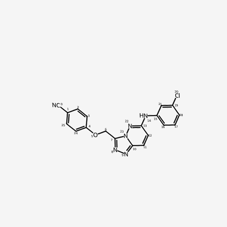 N#Cc1ccc(OCc2nnc3ccc(Nc4cccc(Cl)c4)nn23)cc1